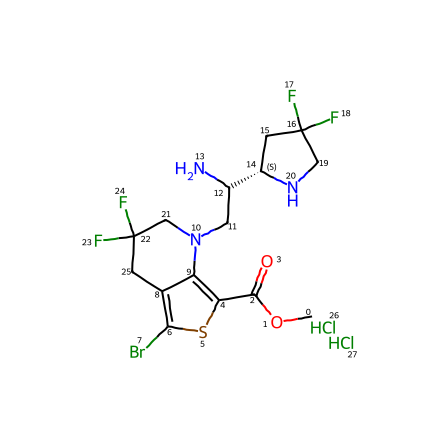 COC(=O)c1sc(Br)c2c1N(CC(N)[C@@H]1CC(F)(F)CN1)CC(F)(F)C2.Cl.Cl